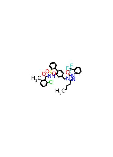 CCCCc1nn(-c2ccccc2C(F)(F)F)c(=O)n1Cc1ccc(-c2ccccc2S(=O)(=O)NC(=O)c2c(C)cccc2Cl)cc1